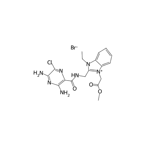 CCn1c(CNC(=O)c2nc(Cl)c(N)nc2N)[n+](CC(=O)OC)c2ccccc21.[Br-]